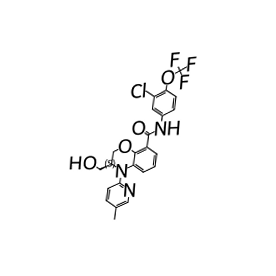 Cc1ccc(N2c3cccc(C(=O)Nc4ccc(OC(F)(F)F)c(Cl)c4)c3OC[C@@H]2CO)nc1